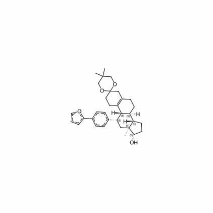 CC1(C)COC2(CCC3=C(CC[C@@H]4[C@@H]3[C@@H](c3ccc(-c5ccco5)cc3)C[C@]3(C)[C@@H](O)CC[C@@H]43)C2)OC1